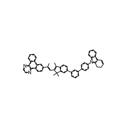 CC1=C(/C=C(\C)c2ccc3c(c2)c2ccccc2c2nccnc32)C(C)(C)c2cc(-c3cccc(-c4ccc(-n5c6c(c7ccccc75)C=CCC6)cc4)c3)ccc21